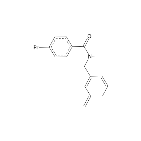 C=C/C=C(\C=C/C)CN(C)C(=O)c1ccc(C(C)C)cc1